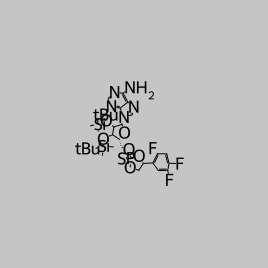 CC(C)(C)[Si](C)(C)O[C@@H]1[C@H](O[Si](C)(C)C(C)(C)C)[C@@H](COP2(=S)OCC(c3cc(F)c(F)cc3F)O2)O[C@H]1n1cnc2c(N)ncnc21